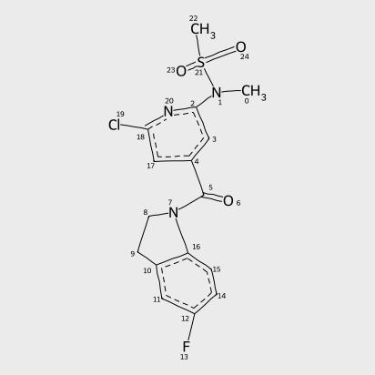 CN(c1cc(C(=O)N2CCc3cc(F)ccc32)cc(Cl)n1)S(C)(=O)=O